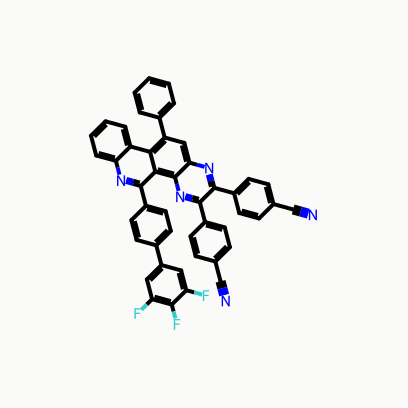 N#Cc1ccc(-c2nc3cc(-c4ccccc4)c4c5ccccc5nc(-c5ccc(-c6cc(F)c(F)c(F)c6)cc5)c4c3nc2-c2ccc(C#N)cc2)cc1